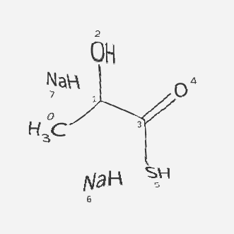 CC(O)C(=O)S.[NaH].[NaH]